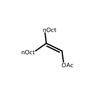 CCCCCCCCC(=COC(C)=O)CCCCCCCC